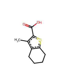 Cc1c(C(=O)O)sc2c1CCCC2